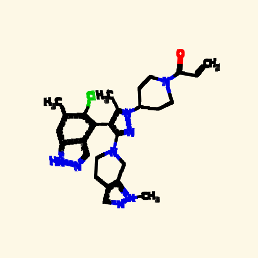 C=CC(=O)N1CCC(n2nc(N3CCc4cnn(C)c4C3)c(-c3c(Cl)c(C)cc4[nH]ncc34)c2C)CC1